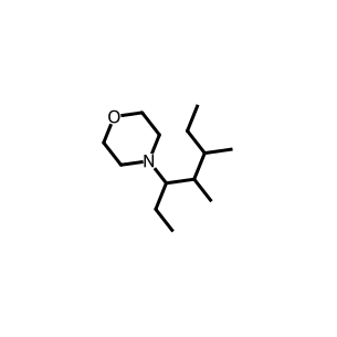 CCC(C)C(C)C(CC)N1CCOCC1